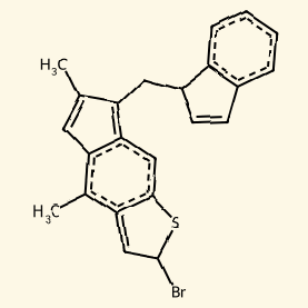 CC1=Cc2c(C)c3c(cc2=C1CC1C=Cc2ccccc21)SC(Br)C=3